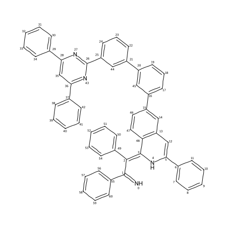 N=C(/C(=C1\NC(c2ccccc2)=Cc2cc(-c3cccc(-c4cccc(-c5nc(-c6ccccc6)cc(-c6ccccc6)n5)c4)c3)ccc21)c1ccccc1)c1ccccc1